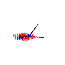 CCCCCCCCCCCCC/C=C/[C@@H](O)[C@H](CO[C@@H]1OC(CO)[C@H](O)[C@H](O[C@]2(C(=O)O)CC(O)[C@@H](NC(C)=O)C([C@H](O)[C@H](O)CO)O2)C1O)NC(=O)CCCCCCCCCCCCCCCCC